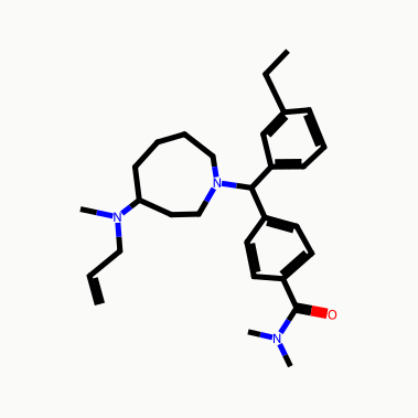 C=CCN(C)C1CCCCN(C(c2ccc(C(=O)N(C)C)cc2)c2cccc(CC)c2)CC1